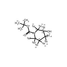 [2H]C1([2H])N(C(=O)OC(C)(C)C)C([2H])([2H])[C@@]([2H])(O)C([2H])([2H])C1([2H])[2H]